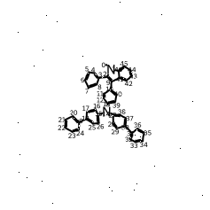 Cn1c(-c2ccccc2)c(-c2ccc(N(c3ccc(-c4ccccc4)cc3)c3ccc(-c4ccccc4)cc3)cc2)c2ccccc21